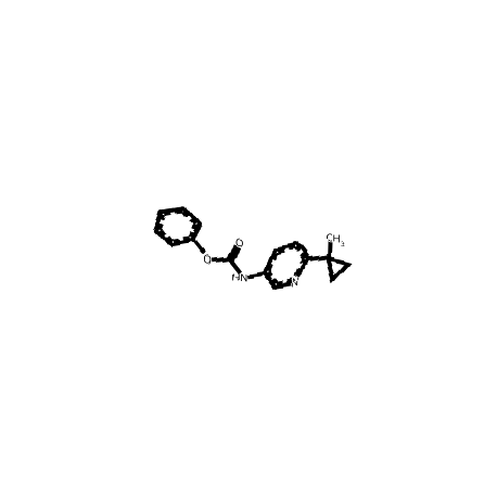 CC1(c2ccc(NC(=O)Oc3ccccc3)cn2)CC1